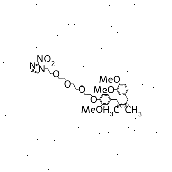 COc1ccc(C[C@H](C)[C@H](C)Cc2ccc(OCCOCCOCCOCCn3ccnc3[N+](=O)[O-])c(OC)c2)cc1OC